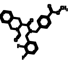 COC(=O)c1ccc(CN(Cc2cccc(F)c2F)C(=O)C2Cc3ccccc3CN2C=O)cc1